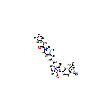 CC1(C)C(=O)N(c2ccc(C#N)c(C(F)(F)F)c2)C(=S)N1CCCCN1CCN(C(=O)Cc2cccs2)CC1